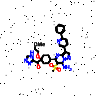 COCCO[C@]1(C(=O)c2nnc[nH]2)CC[C@H](c2nc3c(-c4ccc(-c5ccccc5)nc4)cnn3c(N)c2S(C)(=O)=O)CC1